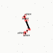 CCCCCCOCC(OCCCCCC)OCCOC(=O)CCCCCCCCC(=O)OCCOC(COCCCCCC)OCCCCCC